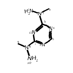 CN(N)c1ncnc(N(C)N)n1